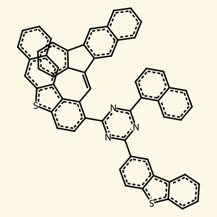 C(=C1/c2ccccc2-c2cc3ccccc3cc21)/c1c(-c2nc(-c3ccc4sc5ccccc5c4c3)nc(-c3cccc4ccccc34)n2)ccc2sc3cc4ccccc4cc3c12